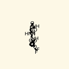 O=C1CN(Cc2nnc(CNS(=O)(=O)c3cccc(OCC(F)F)c3)[nH]2)C(=O)N1